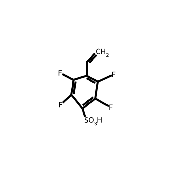 C=Cc1c(F)c(F)c(S(=O)(=O)O)c(F)c1F